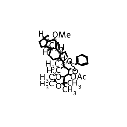 CO[C@@H]1C[C@H]2[C@@H]3CC[C@H]([C@H](C)C(C(OC(C)=O)C4OC(C)(C)OC4(C)C)S(=O)(=O)c4ccccc4)[C@@]3(C)CC[C@@H]2[C@@]2(C)CC[C@H]3C[C@]312